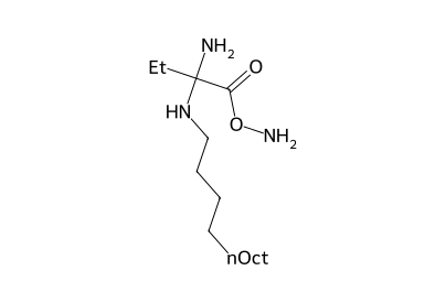 CCCCCCCCCCCCNC(N)(CC)C(=O)ON